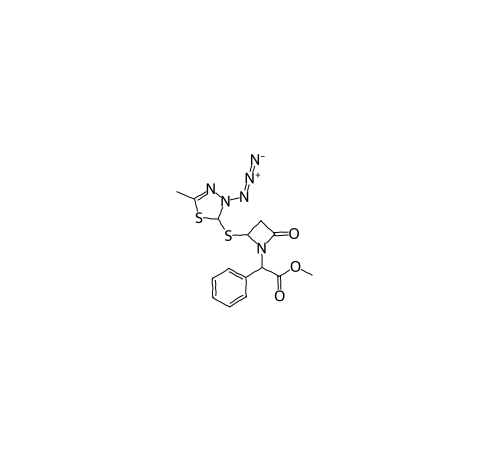 COC(=O)C(c1ccccc1)N1C(=O)CC1SC1SC(C)=NN1N=[N+]=[N-]